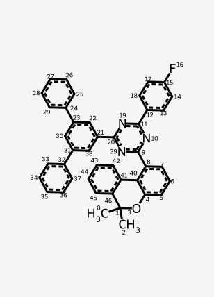 CC1(C)Oc2cccc(-c3nc(-c4ccc(F)cc4)nc(-c4cc(-c5ccccc5)cc(-c5ccccc5)c4)n3)c2-c2ccccc21